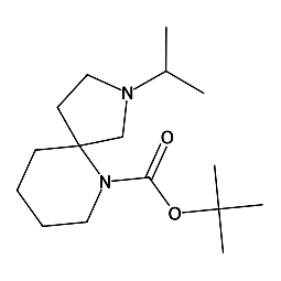 CC(C)N1CCC2(CCCCN2C(=O)OC(C)(C)C)C1